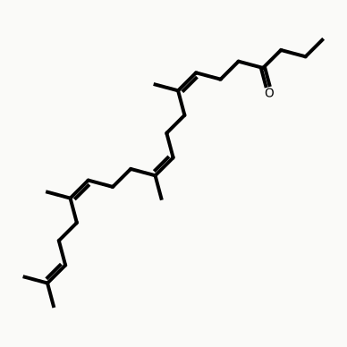 CCCC(=O)CCC=C(C)CCC=C(C)CCC=C(C)CCC=C(C)C